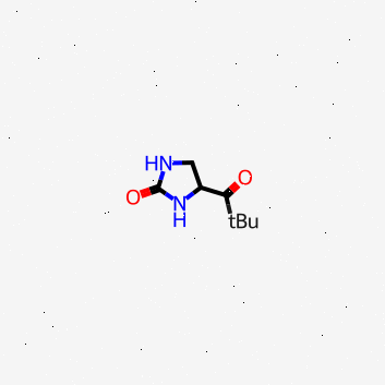 CC(C)(C)C(=O)C1CNC(=O)N1